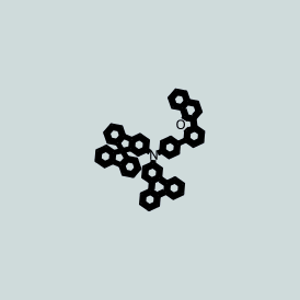 c1ccc2c(c1)-c1ccccc1C21c2ccccc2-c2ccc(N(c3ccc(-c4cccc5c4oc4c6ccccc6ccc54)cc3)c3ccc4c5ccccc5c5ccccc5c4c3)cc21